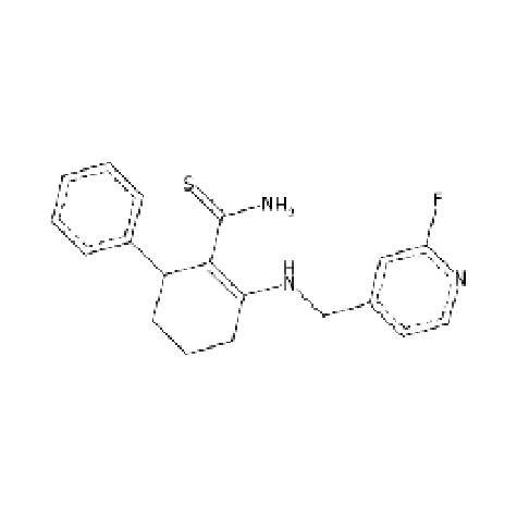 NC(=S)C1=C(NCc2ccnc(F)c2)CCCC1c1ccccc1